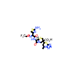 C=CCC(Sc1nnn[nH]1)C1(C(=O)O)CS[C@@H]2C(NC(=O)C(=NOCC(F)(F)F)c3csc(N)n3)C(=O)N2C1